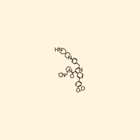 O=C(c1cc(Cc2ccc(N3CCC4(CCNCC4)CC3)cc2)nc2ccc(-c3ccc4c(c3)OCO4)cc12)N1CCCC1CN1CCCC1